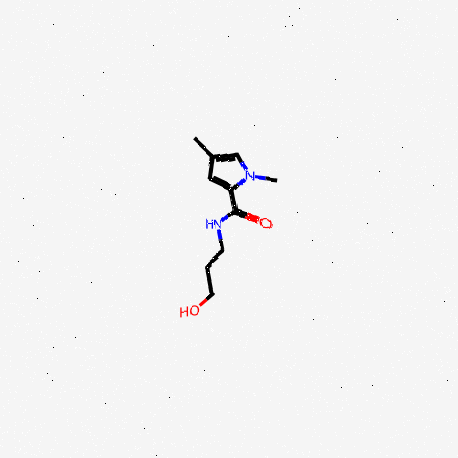 Cc1cc(C(=O)NCCCO)n(C)c1